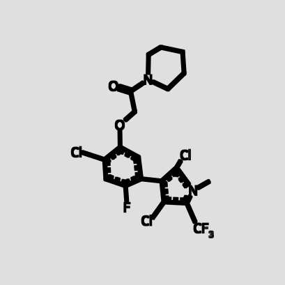 Cn1c(Cl)c(-c2cc(OCC(=O)N3CCCCC3)c(Cl)cc2F)c(Cl)c1C(F)(F)F